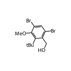 COc1c(Br)cc(Br)c(CO)c1C(C)(C)C